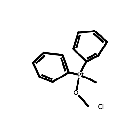 CO[P+](C)(c1ccccc1)c1ccccc1.[Cl-]